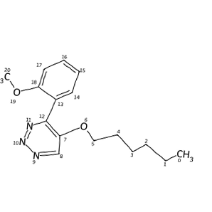 CCCCCCOc1cnnnc1-c1ccccc1OC